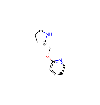 c1ccc(OC[C@@H]2CCCN2)nc1